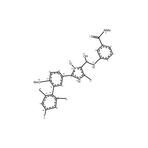 CNC(=O)c1cccc(NC(O)c2c(C)[nH]c(-c3ccc(OC)c(-c4c(C)cc(F)cc4C)c3)[n+]2[O-])c1